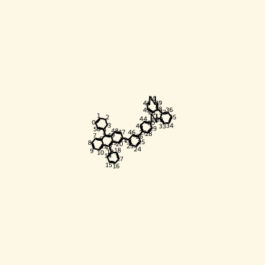 C1=CCCC(c2c3ccccc3c(-c3ccccc3)c3cc(-c4cccc(-c5ccc(-n6c7ccccc7c7cnccc76)cc5)c4)ccc23)=C1